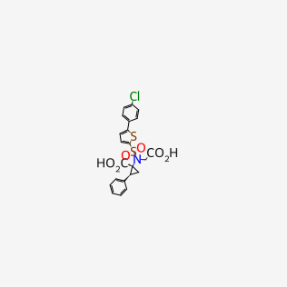 O=C(O)CN([C@]1(C(=O)O)C[C@H]1c1ccccc1)S(=O)(=O)c1ccc(-c2ccc(Cl)cc2)s1